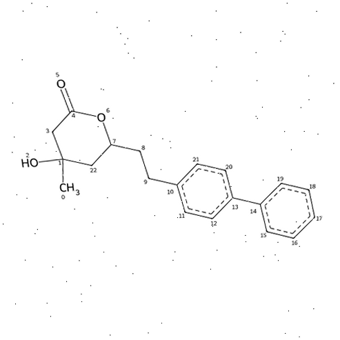 CC1(O)CC(=O)OC(CCc2ccc(-c3ccccc3)cc2)C1